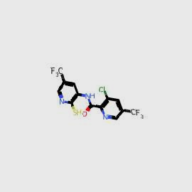 O=C(Nc1cc(C(F)(F)F)cnc1S)c1ncc(C(F)(F)F)cc1Cl